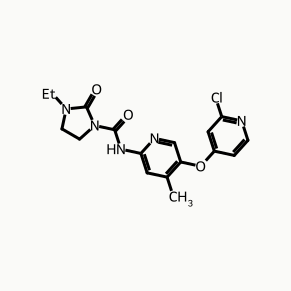 CCN1CCN(C(=O)Nc2cc(C)c(Oc3ccnc(Cl)c3)cn2)C1=O